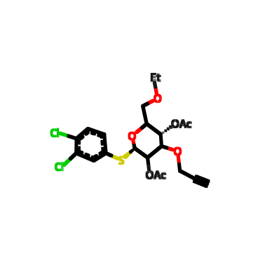 C#CCOC1C(OC(C)=O)[C@@H](Sc2ccc(Cl)c(Cl)c2)OC(COCC)[C@@H]1OC(C)=O